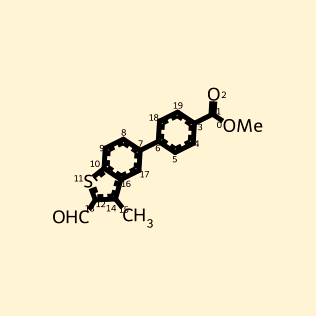 COC(=O)c1ccc(-c2ccc3sc(C=O)c(C)c3c2)cc1